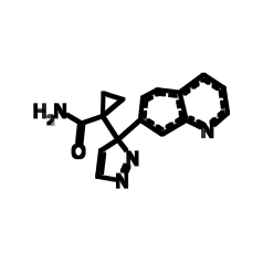 NC(=O)C1(C2(c3ccc4cccnc4c3)C=CN=N2)CC1